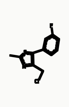 Cc1nc(CCl)c(-c2cccc(F)c2)s1